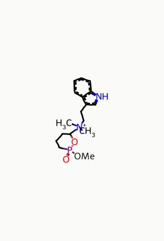 COP1(=O)CCCC([N+](C)(C)CCc2c[nH]c3ccccc23)O1